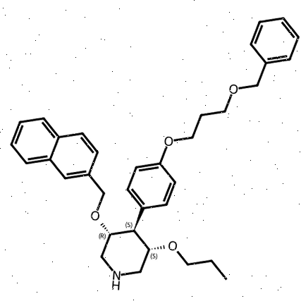 CCCO[C@@H]1CNC[C@H](OCc2ccc3ccccc3c2)[C@H]1c1ccc(OCCCOCc2ccccc2)cc1